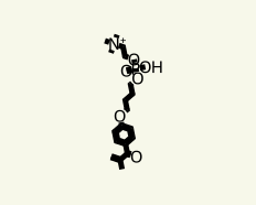 C=C(C)C(=O)c1ccc(OCCCCOP(=O)(O)OCC[N+](C)(C)C)cc1